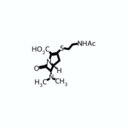 CC(=O)NCCSC1=C(C(=O)O)N2C(=O)[C@H](N(C)C)[C@H]2C1